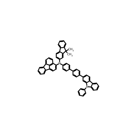 CC1(C)c2ccccc2-c2ccc(N(c3ccc(-c4ccc(-c5ccc6c7ccccc7n(-c7ccccc7)c6c5)cc4)cc3)c3ccc4c5c(cccc35)-c3ccccc3-4)cc21